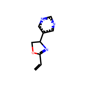 C=CC1=NC(c2cncnc2)CO1